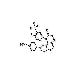 N#Cc1ccc(-c2ccc3ncc4ccc(=O)n(-c5ccc(F)c(C(F)(F)F)c5)c4c3c2)cn1